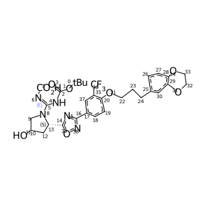 CC(C)(C)OC(=O)N/C(=N\C(=O)O)N1CC(O)C[C@H]1c1nc(-c2ccc(OCCCc3ccc4c(c3)OCCO4)c(C(F)(F)F)c2)no1